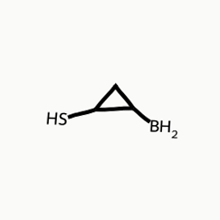 BC1CC1S